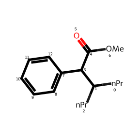 CCCC(CCC)C(C(=O)OC)c1ccccc1